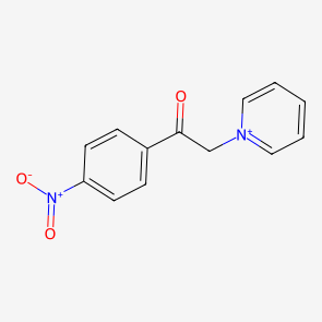 O=C(C[n+]1ccccc1)c1ccc([N+](=O)[O-])cc1